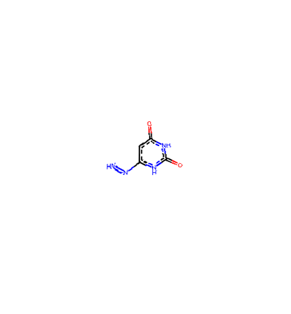 N=Nc1cc(=O)[nH]c(=O)[nH]1